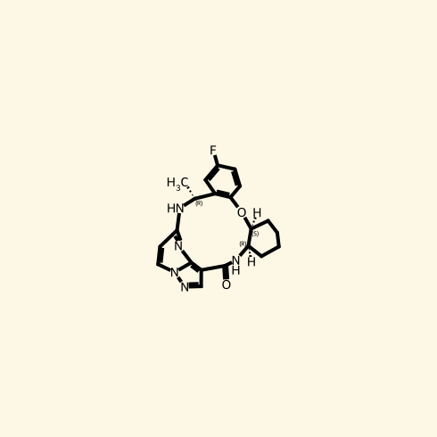 C[C@H]1Nc2ccn3ncc(c3n2)C(=O)N[C@@H]2CCCC[C@@H]2Oc2ccc(F)cc21